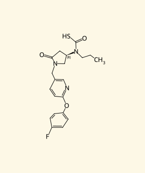 CCCN(C(=O)S)[C@@H]1CC(=O)N(Cc2ccc(Oc3ccc(F)cc3)nc2)C1